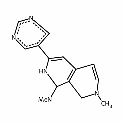 CNC1NC(c2cncnc2)=CC2=C1CN(C)C=C2